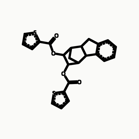 O=C(OC1C2CC(C1OC(=O)c1cccs1)C1c3ccccc3CC21)c1cccs1